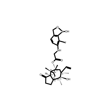 C=C[C@]1(C)C[C@@H](OC(=O)CNc2ccc3c(c2F)B(O)OC3)[C@]2(C)[C@H](C)CC[C@]3(CCC(=O)[C@H]32)[C@@H](C)[C@@H]1O